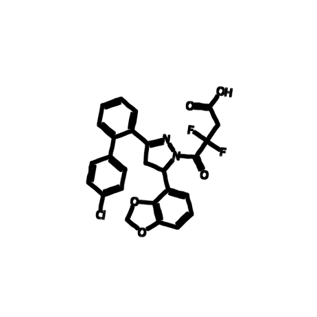 O=C(O)CC(F)(F)C(=O)N1N=C(c2ccccc2-c2ccc(Cl)cc2)CC1c1cccc2c1OCO2